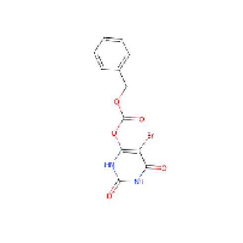 O=C(OCc1ccccc1)Oc1[nH]c(=O)[nH]c(=O)c1Br